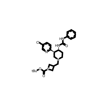 CC(C)(C)OC(=O)N1CC(CN2CC[C@@H](NC(=O)Nc3ccccc3)[C@H](c3ccc(Cl)cn3)C2)C1